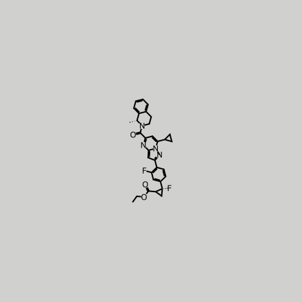 CCOC(=O)C1C[C@]1(F)c1ccc(-c2cc3nc(C(=O)N4CCc5ccccc5[C@H]4C)cc(C4CC4)n3n2)c(F)c1